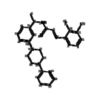 CC(NC(=O)C=Cc1cccc(F)c1F)c1cccc(N2CCN(c3ccccn3)CC2)c1